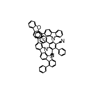 N#Cc1c(-c2ccccc2)c(C#N)c(-n2c3c(ccc4c5ccccc5sc43)c3ccc4c(sc5cccc(-c6ccccc6)c54)c32)c(-c2ccccc2)c1-n1c2ccccc2c2ccc(-c3cccc4c3oc3ccccc34)cc21